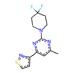 Cc1cc(-c2ccsn2)nc(N2CCC(F)(F)CC2)n1